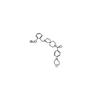 CC(C)COc1ccccc1CN1CCC2(CCN(C(=O)c3ccc(N4CCOCC4)cc3)CC2)C1